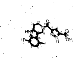 Cc1ccc(F)c2[nH]c3c(c12)CN(C(=O)c1cc(C(=O)O)[nH]n1)CC3